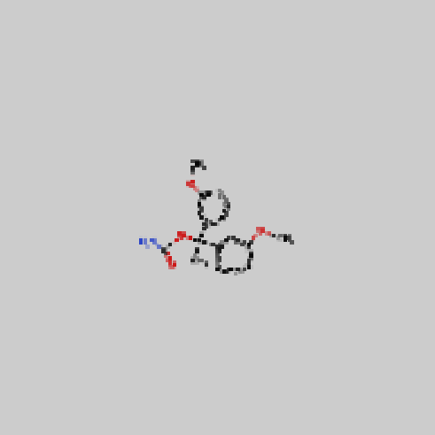 COc1cccc(C(C)(OC(N)=O)c2cccc(OC)c2)c1